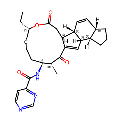 CC[C@H]1CCC[C@H](NC(=O)c2ccncn2)[C@@H](C)C(=O)C2=C[C@@H]3[C@@H](C=C[C@@H]4CCC[C@@H]34)[C@@H]2CC(=O)O1